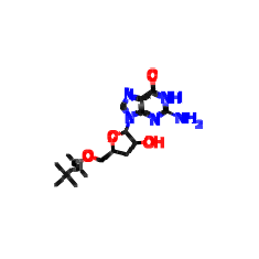 CC(C)(C)[Si](C)(C)OC[C@@H]1CC(O)[C@H](n2cnc3c(=O)[nH]c(N)nc32)O1